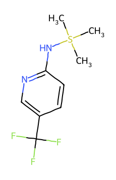 CS(C)(C)Nc1ccc(C(F)(F)F)cn1